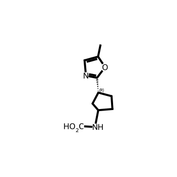 Cc1cnc([C@@H]2CCC(NC(=O)O)C2)o1